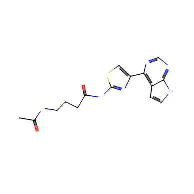 CC(=O)NCCCC(=O)Nc1nc(-c2ncnc3[nH]ccc23)cs1